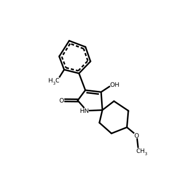 COC1CCC2(CC1)NC(=O)C(c1ccccc1C)=C2O